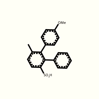 COc1ccc(-c2c(C)ccc(S(=O)(=O)O)c2-c2ccccc2)cc1